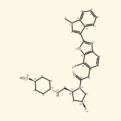 Cn1cc(-c2nc3ccc(CC(=O)N4C[C@@H](F)C[C@H]4CN[C@H]4CC[C@H](C(=O)O)CC4)c(F)c3o2)c2ccccc21